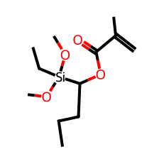 C=C(C)C(=O)OC(CCC)[Si](CC)(OC)OC